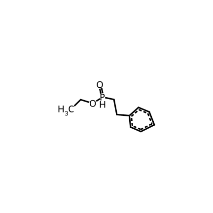 CCO[PH](=O)CCc1ccccc1